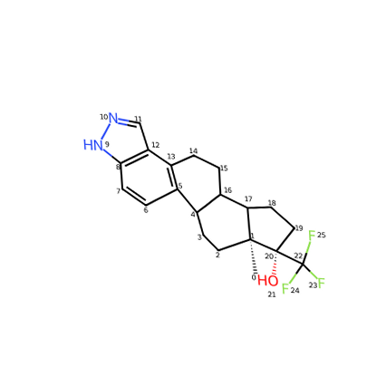 C[C@]12CCC3c4ccc5[nH]ncc5c4CCC3C1CC[C@@]2(O)C(F)(F)F